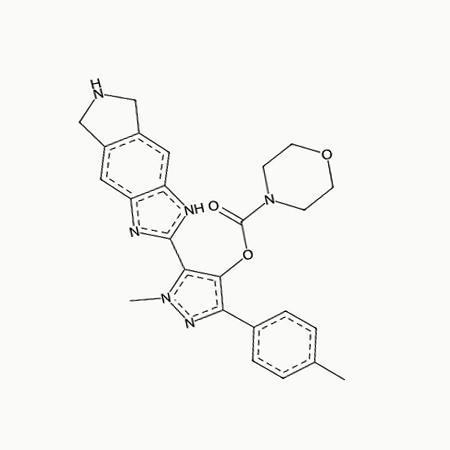 Cc1ccc(-c2nn(C)c(-c3nc4cc5c(cc4[nH]3)CNC5)c2OC(=O)N2CCOCC2)cc1